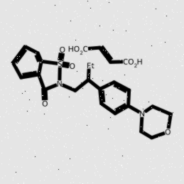 CCC(CN1C(=O)c2ccccc2S1(=O)=O)c1ccc(N2CCOCC2)cc1.O=C(O)C=CC(=O)O